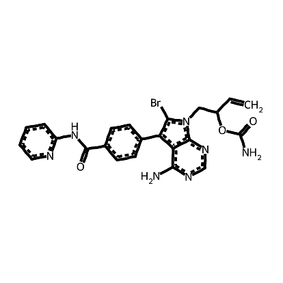 C=CC(Cn1c(Br)c(-c2ccc(C(=O)Nc3ccccn3)cc2)c2c(N)ncnc21)OC(N)=O